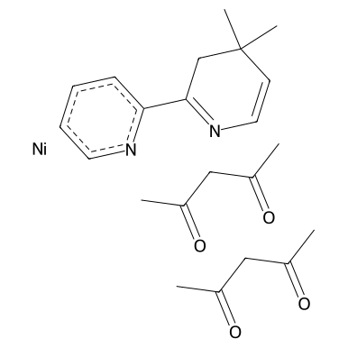 CC(=O)CC(C)=O.CC(=O)CC(C)=O.CC1(C)C=CN=C(c2ccccn2)C1.[Ni]